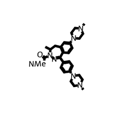 CNC(=O)N1N=C(c2ccc(N3CCN(C)CC3)cc2)c2ccc(N3CCN(C)CC3)cc2CC1C